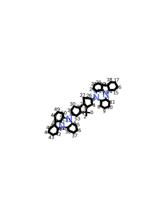 CC1(C)c2cc(N3c4ccccc4-n4c5ccccc5c5cccc3c54)ccc2-c2ccc(N3c4ccccc4-n4c5ccccc5c5cccc3c54)cc21